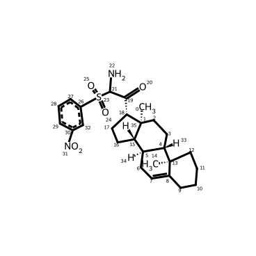 C[C@]12CC[C@H]3[C@@H](CC=C4CCCC[C@@]43C)[C@@H]1CC[C@@H]2C(=O)C(N)S(=O)(=O)c1cccc([N+](=O)[O-])c1